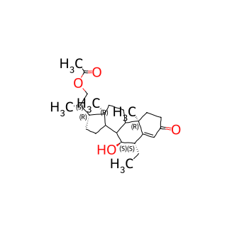 CC[C@H]1C2=CC(=O)CC[C@]2(C)C2CC[C@@]3(C)C(CC[C@@H]3[C@H](C)COC(C)=O)C2[C@@H]1O